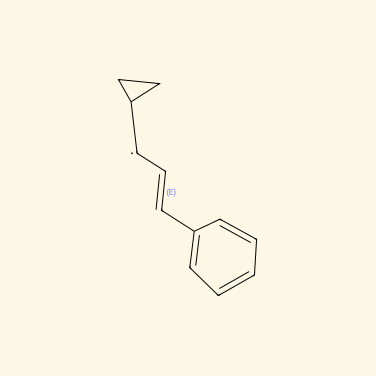 [CH](/C=C/c1ccccc1)C1CC1